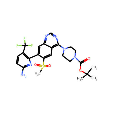 CC(C)(C)OC(=O)N1CCN(c2ncnc3cc(-c4nc(N)ccc4C(F)(F)F)c(S(C)(=O)=O)cc23)CC1